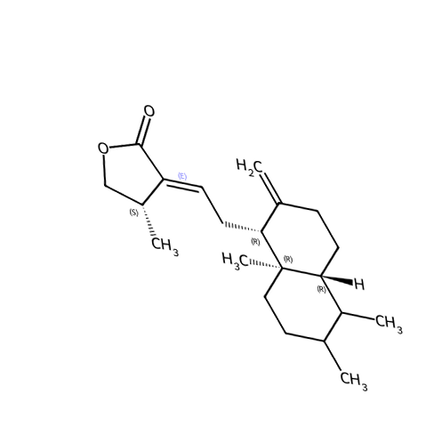 C=C1CC[C@@H]2C(C)C(C)CC[C@@]2(C)[C@@H]1C/C=C1/C(=O)OC[C@H]1C